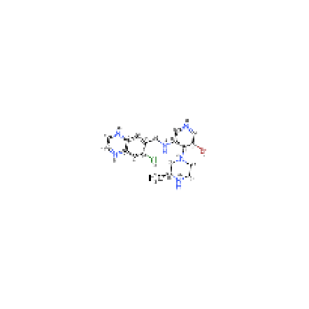 C[C@H]1CN(c2c(Br)cncc2NCc2cc3nccnc3cc2Cl)CCN1